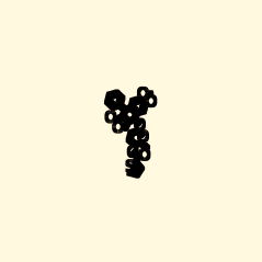 O=C1OCC2C(OC3CCC4OC(c5cccs5)OCC4O3)c3cc4c(cc3C(c3ccccc3)C12)OCO4